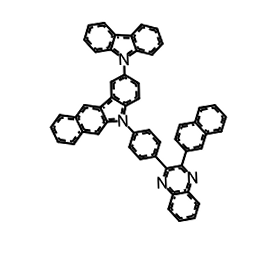 c1ccc2cc(-c3nc4ccccc4nc3-c3ccc(-n4c5ccc(-n6c7ccccc7c7ccccc76)cc5c5cc6ccccc6cc54)cc3)ccc2c1